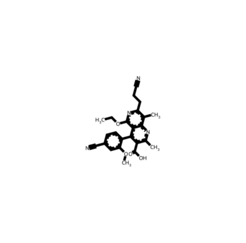 CCOc1nc(CCC#N)c(C)c2nc(C)c(C(=O)O)c(-c3ccc(C#N)cc3OC)c12